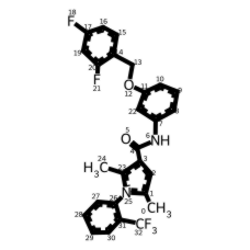 Cc1cc(C(=O)Nc2cccc(OCc3ccc(F)cc3F)c2)c(C)n1-c1ccccc1C(F)(F)F